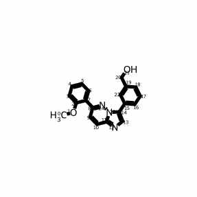 COc1ccccc1-c1ccc2ncc(-c3cccc(CO)c3)n2n1